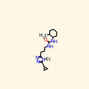 CCn1c(CCCNC(=O)NC2CCCCC2C)nnc1C1CC1